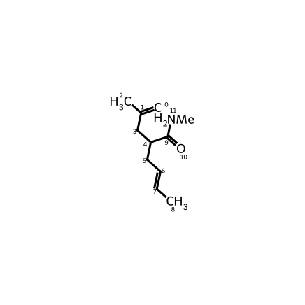 C=C(C)CC(C/C=C/C)C(=O)NC